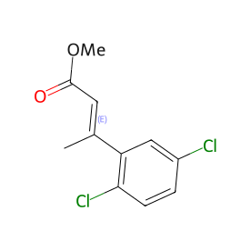 COC(=O)/C=C(\C)c1cc(Cl)ccc1Cl